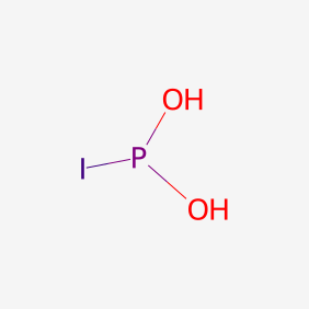 OP(O)I